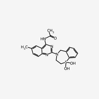 CC(=O)Nc1nc(N2CCS(O)(O)c3ccccc3C2)nc2ccc(C)cc12